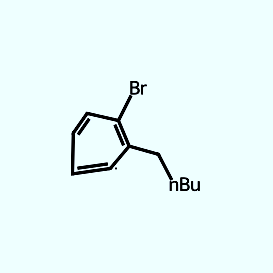 CCCCCc1[c]cccc1Br